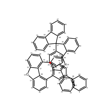 c1ccc(-c2cccc(-c3cccc4oc5cccc(-c6nc(-c7ccccc7)nc(-c7ccccc7C7(c8ccccc8)c8ccccc8-c8ccccc87)n6)c5c34)c2)cc1